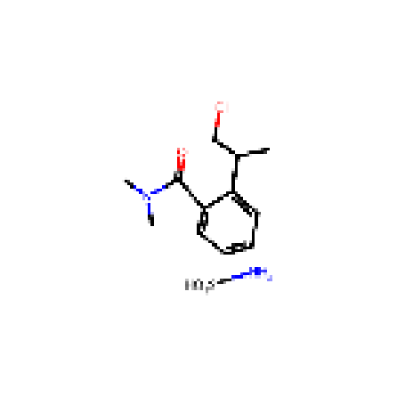 CC(CO)c1ccccc1C(=O)N(C)C.NS(=O)(=O)O